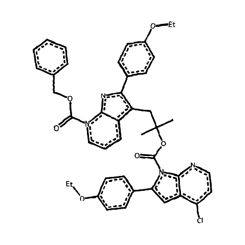 CCOc1ccc(-c2nc3n(C(=O)OCc4ccccc4)cccc-3c2CC(C)(C)OC(=O)n2c(-c3ccc(OCC)cc3)cc3c(Cl)ccnc32)cc1